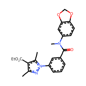 CCOC(=O)c1c(C)nn(-c2cccc(C(=O)N(C)c3ccc4c(c3)OCO4)c2)c1C